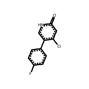 O=c1cc(Cl)c(-c2ccc(F)cc2)c[nH]1